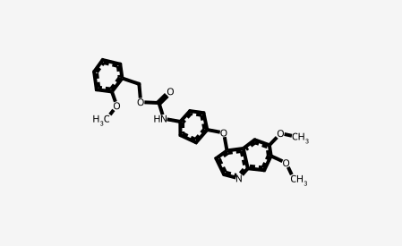 COc1ccccc1COC(=O)Nc1ccc(Oc2ccnc3cc(OC)c(OC)cc23)cc1